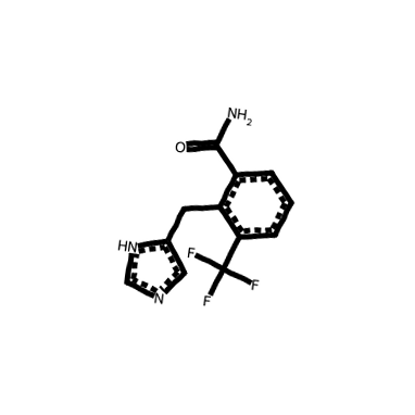 NC(=O)c1cccc(C(F)(F)F)c1Cc1cnc[nH]1